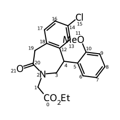 CCOC(=O)CN1CC(c2ccccc2OC)c2cc(Cl)ccc2CC1=O